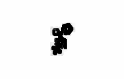 CC(C)(C)c1ncc(C(=O)N2CCCC2)s1